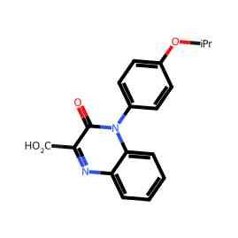 CC(C)Oc1ccc(-n2c(=O)c(C(=O)O)nc3ccccc32)cc1